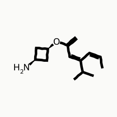 C=C(/C=C(\C=C/C)C(C)C)O[C@H]1C[C@@H](N)C1